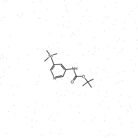 CC(C)(C)OC(=O)Nc1cnc[c]([Sn]([CH3])([CH3])[CH3])c1